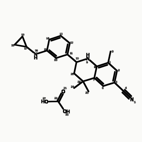 Cc1cc(C#N)cc2c1NC(c1cccc(NC3CC3)c1)CC2(C)C.O=C(O)O